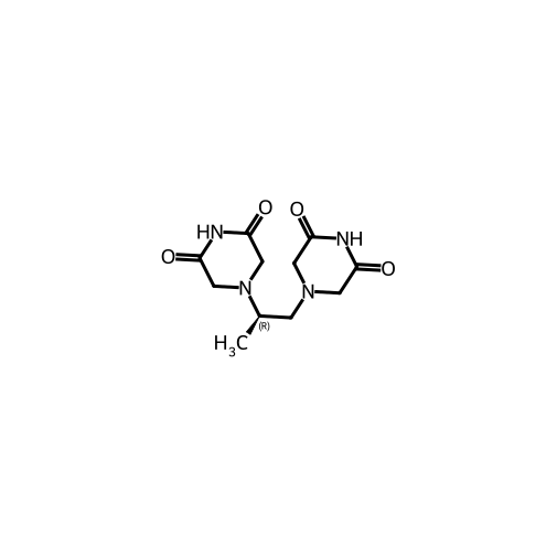 C[C@H](CN1CC(=O)NC(=O)C1)N1CC(=O)NC(=O)C1